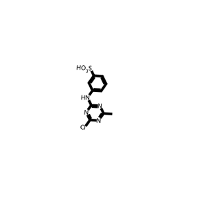 Cc1nc(Cl)nc(Nc2cccc(S(=O)(=O)O)c2)n1